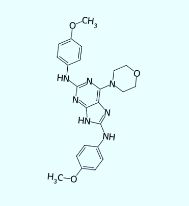 COc1ccc(Nc2nc(N3CCOCC3)c3nc(Nc4ccc(OC)cc4)[nH]c3n2)cc1